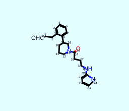 O=CCCc1ccccc1C1CCCN(C(=O)CCCNc2ccccn2)C1